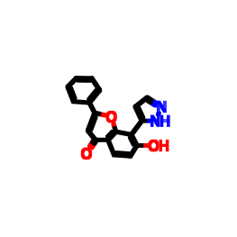 O=c1cc(-c2ccccc2)oc2c(-c3ccn[nH]3)c(O)ccc12